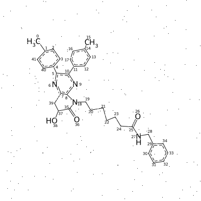 Cc1ccc(-c2nc3c(nc2-c2ccc(C)cc2)N(CCCCCCC(=O)NCc2ccccc2)C(=O)C(O)C3)cc1